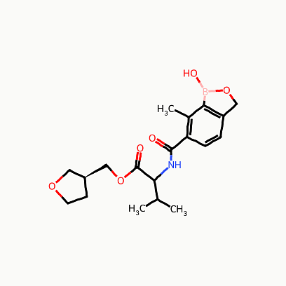 Cc1c(C(=O)NC(C(=O)OC[C@H]2CCOC2)C(C)C)ccc2c1B(O)OC2